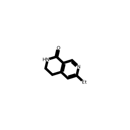 CCc1cc2c(cn1)C(=O)NCC2